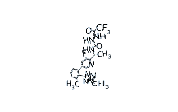 Cc1cccc(-c2cnc([C@@H](C)NC(=O)NNC(=O)C(F)(F)F)c(F)c2)c1-c1nnn(C)n1